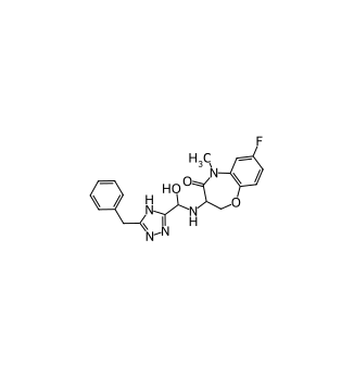 CN1C(=O)C(NC(O)c2nnc(Cc3ccccc3)[nH]2)COc2ccc(F)cc21